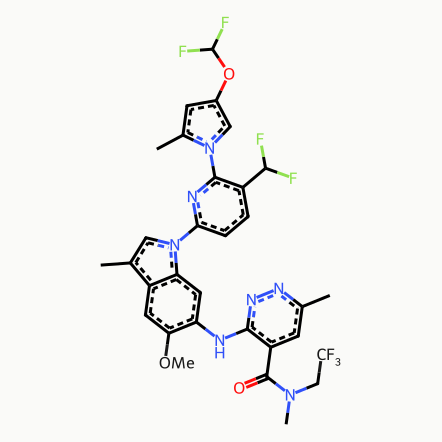 COc1cc2c(C)cn(-c3ccc(C(F)F)c(-n4cc(OC(F)F)cc4C)n3)c2cc1Nc1nnc(C)cc1C(=O)N(C)CC(F)(F)F